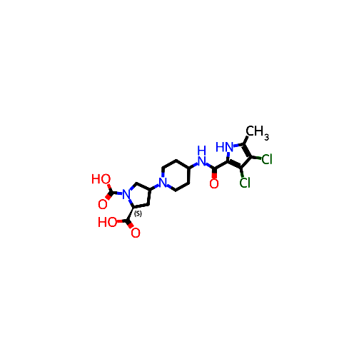 Cc1[nH]c(C(=O)NC2CCN(C3C[C@@H](C(=O)O)N(C(=O)O)C3)CC2)c(Cl)c1Cl